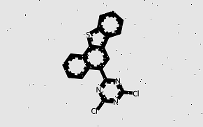 Clc1nc(Cl)nc(-c2cc3c4ccccc4sc3c3ccccc23)n1